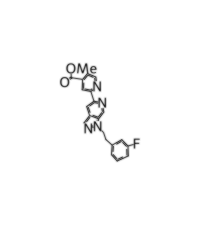 COC(=O)c1ccnc(-c2cc3cnn(CCc4cccc(F)c4)c3cn2)c1